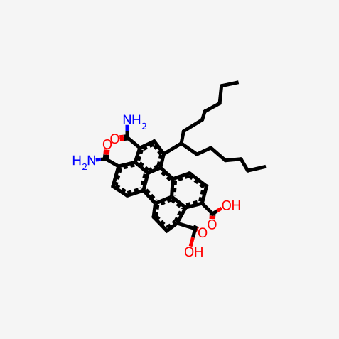 CCCCCCC(CCCCCC)c1cc(C(N)=O)c2c(C(N)=O)ccc3c4ccc(C(=O)O)c5c(C(=O)O)ccc(c1c23)c54